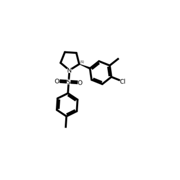 Cc1ccc(S(=O)(=O)N2CCC[C@H]2c2ccc(Cl)c(C)c2)cc1